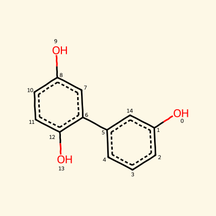 Oc1cccc(-c2cc(O)ccc2O)c1